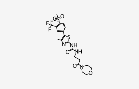 Cc1nc(NC(=O)NCCC(=O)N2CCOCC2)sc1-c1ccc(S(C)(=O)=O)c(C(F)(F)F)c1